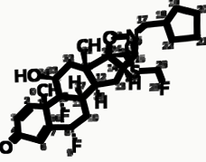 C[C@]12C=CC(=O)C=C1[C@@H](F)C[C@H]1[C@@H]3C[C@H]4CN(CC5CCCC5)O[C@@]4(C(=O)SCF)[C@@]3(C)C[C@H](O)[C@@]12F